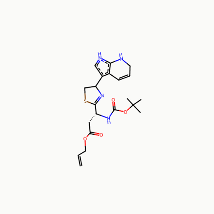 C=CCOC(=O)C[C@@H](NC(=O)OC(C)(C)C)C1=NC(c2c[nH]c3c2C=CCN3)CS1